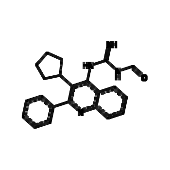 N=C(NC=O)Nc1c(C2CCCC2)c(-c2ccccc2)nc2ccccc12